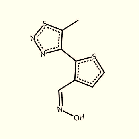 Cc1snnc1-c1sccc1/C=N\O